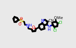 COc1cc(Nc2c(C#N)cnc3cc(-c4ccc(CNCCS(=O)(=O)c5ccccc5)o4)ccc23)c(Cl)cc1Cl